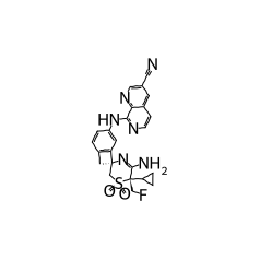 N#Cc1cnc2c(Nc3ccc4c(c3)[C@]3(C4)CS(=O)(=O)[C@@](CF)(C4CC4)C(N)=N3)nccc2c1